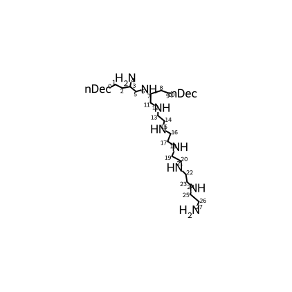 CCCCCCCCCCCCC(N)CNC(CCCCCCCCCCCC)CNCCNCCNCCNCCNCCN